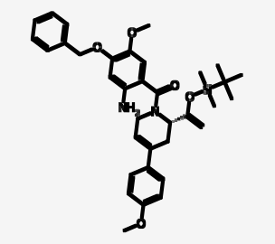 C=C(O[Si](C)(C)C(C)(C)C)[C@@H]1CC(c2ccc(OC)cc2)=CCN1C(=O)c1cc(OC)c(OCc2ccccc2)cc1N